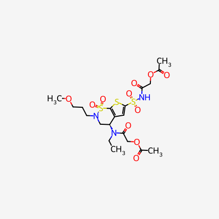 CCN(C(=O)COC(C)=O)[C@H]1CN(CCCOC)S(=O)(=O)c2sc(S(=O)(=O)NC(=O)COC(C)=O)cc21